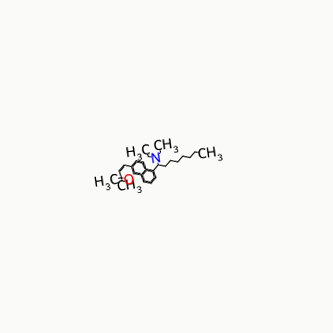 CCCCCCCC(c1cccc2c3c(ccc12)C=CC(C)(C)O3)N(CC)CC